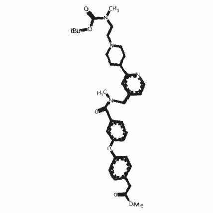 COC(=O)Cc1ccc(Oc2cccc(C(=O)N(C)Cc3ccnc(C4CCN(CCN(C)C(=O)OC(C)(C)C)CC4)c3)c2)cc1